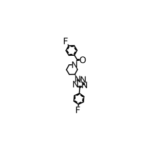 O=C(c1ccc(F)cc1)N1CCC[C@H](n2nnc(-c3ccc(F)cc3)n2)C1